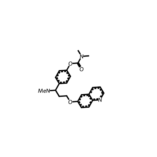 CNC(CCOc1ccc2ncccc2c1)c1ccc(OC(=O)N(C)C)cc1